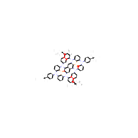 CC(C)(C)c1ccc(N2c3cccc4c3P3(=O)c5c2cccc5N(c2ccc(C(C)(C)C)cc2)c2c3c(cc3c5c6c(cc23)N(c2ccc(C(C)(C)C)cc2)c2cccc3c2P6(=O)c2c(cccc2N5c2ccc(C(C)(C)C)cc2)N3c2ccc(C(C)(C)C)cc2)N4c2ccc(C(C)(C)C)cc2)cc1